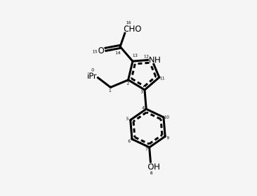 CC(C)Cc1c(-c2ccc(O)cc2)c[nH]c1C(=O)C=O